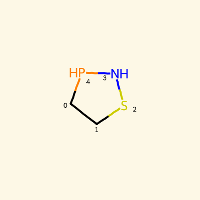 C1CSNP1